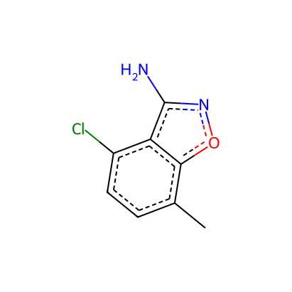 Cc1ccc(Cl)c2c(N)noc12